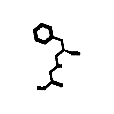 CN[C@H](CNCC(=O)OC)Cc1ccccc1